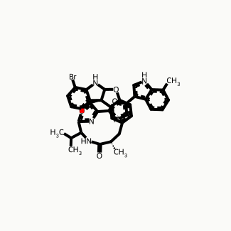 Cc1cccc2c(-c3cnc(-c4nc5oc4[C@]46c7cc(ccc7OC4Nc4c(Br)cccc46)C[C@H](C)C(=O)NC5C(C)C)o3)c[nH]c12